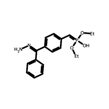 CCOP(O)(=Cc1ccc(/C(=N/N)c2ccccc2)cc1)OCC